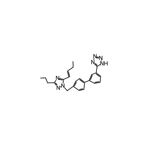 CC/C=C/c1nc(CCC)nn1Cc1ccc(-c2cccc(-c3nnn[nH]3)c2)cc1